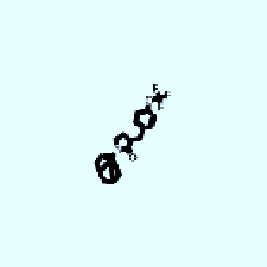 O=C1C(Cc2ccc(OC(F)(F)F)cc2)CCN1C1C2CC3CC(C2)CC1C3